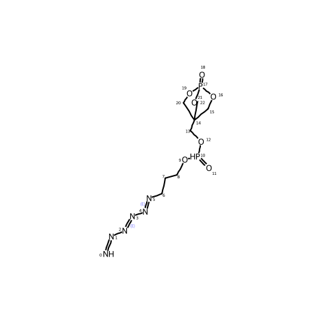 N=N/N=N/N=N/CCCO[PH](=O)OCC12COP(=O)(OC1)OC2